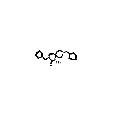 CCCN1C(=O)N(Cc2ccccc2)C=CC12CCN(Cc1ccc(Cl)cc1)CC2